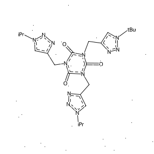 CC(C)n1cc(Cn2c(=O)n(Cc3cn(C(C)C)nn3)c(=O)n(Cc3cn(C(C)(C)C)nn3)c2=O)nn1